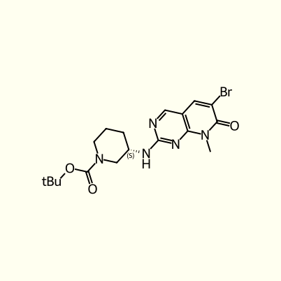 Cn1c(=O)c(Br)cc2cnc(N[C@H]3CCCN(C(=O)OC(C)(C)C)C3)nc21